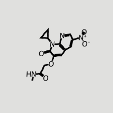 CNC(=O)COc1cc2cc([N+](=O)[O-])cnc2n(C2CC2)c1=O